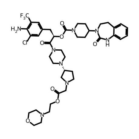 Nc1c(Cl)cc(C[C@@H](OC(=O)N2CCC(N3CCc4ccccc4NC3=O)CC2)C(=O)N2CCN([C@@H]3CCN(CC(=O)OCCN4CCOCC4)C3)CC2)cc1C(F)(F)F